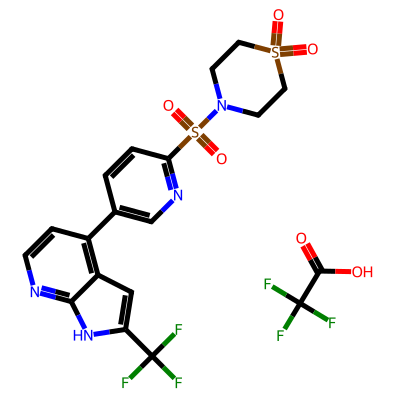 O=C(O)C(F)(F)F.O=S1(=O)CCN(S(=O)(=O)c2ccc(-c3ccnc4[nH]c(C(F)(F)F)cc34)cn2)CC1